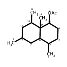 CC(=O)OC1CCC(C)C2CC(C)CC(C)C12C